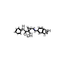 O=C(Nc1ccccc1)C1(CO)CC1/C=C/c1ccc2[nH]ncc2c1